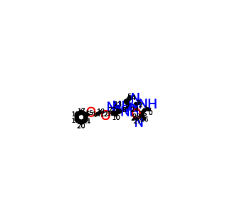 CC(Nc1nccc(Nc2cc(OCCOc3ccccc3)n[nH]2)n1)c1cnco1